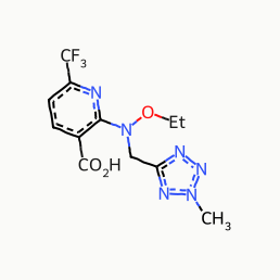 CCON(Cc1nnn(C)n1)c1nc(C(F)(F)F)ccc1C(=O)O